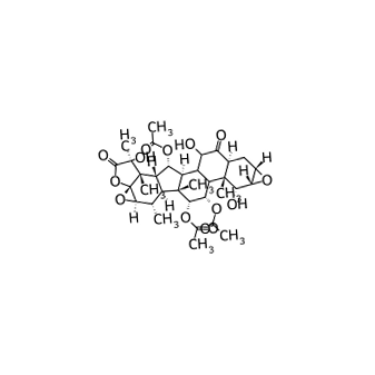 CC(=O)O[C@H]1[C@@H]2[C@H]([C@H](C)[C@H]3O[C@]34OC(=O)[C@@](C)(O)[C@]24C)[C@]2(C)[C@@H]1C1C(O)C(=O)[C@H]3C[C@@H]4O[C@@H]4[C@H](O)[C@]3(C)C1[C@H](OC(C)=O)[C@@H]2OC(C)=O